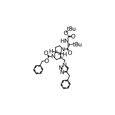 CC(C)(C)OC(=O)N[C@H](C(=O)N1CC[C@@H]2[C@H]1[C@@H](Cn1cc(Cc3ccccc3)nn1)CN2C(=O)OCc1ccccc1)C(C)(C)C